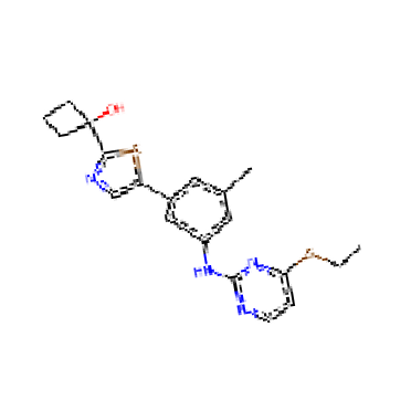 CCSc1ccnc(Nc2cc(C)cc(-c3cnc(C4(O)CCC4)s3)c2)n1